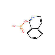 O=[PH](O)O.c1ccc2cnccc2c1